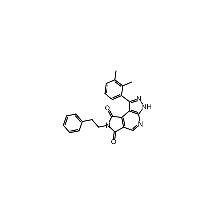 Cc1cccc(-c2n[nH]c3ncc4c(c23)C(=O)N(CCc2ccccc2)C4=O)c1C